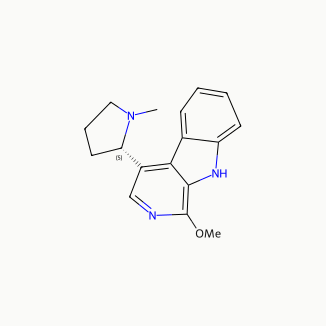 COc1ncc([C@@H]2CCCN2C)c2c1[nH]c1ccccc12